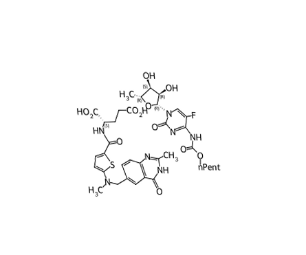 CCCCCOC(=O)Nc1nc(=O)n([C@@H]2O[C@H](C)[C@@H](O)[C@H]2O)cc1F.Cc1nc2ccc(CN(C)c3ccc(C(=O)N[C@@H](CCC(=O)O)C(=O)O)s3)cc2c(=O)[nH]1